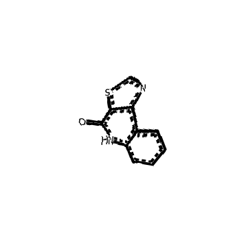 O=c1[nH]c2ccccc2c2ncsc12